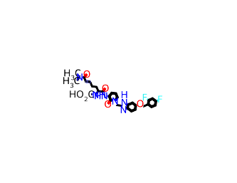 CN(C)C(=O)/C=C/CCC(NC(=O)O)C(=O)Nc1cccn(Cc2nc3ccc(OCc4ccc(F)cc4F)cc3[nH]2)c1=O